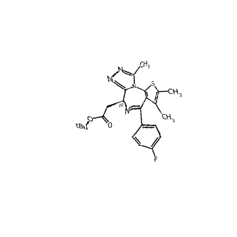 Cc1sc2c(c1C)C(c1ccc(F)cc1)=N[C@@H](CC(=O)OC(C)(C)C)c1nnc(C)n1-2